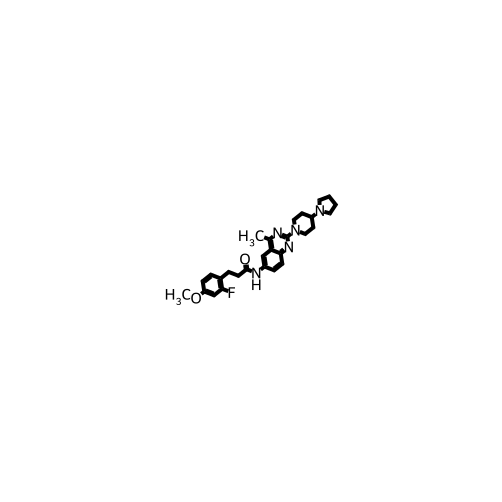 COc1ccc(CCC(=O)Nc2ccc3nc(N4CCC(N5CCCC5)CC4)nc(C)c3c2)c(F)c1